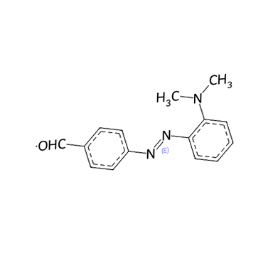 CN(C)c1ccccc1/N=N/c1ccc([C]=O)cc1